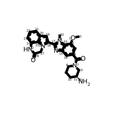 COc1cc(C(=O)N2CCC[C@@H](N)C2)cc2nc(-c3cc4cccc5c4n3CC(=O)N5)n(C)c12